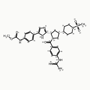 COC(=O)Nc1ccc(-c2cnc([C@@H]3C[C@H](C4CCN(S(C)(=O)=O)CC4)CN3C(=O)c3ccc(NC(=N)N)cc3)[nH]2)cc1